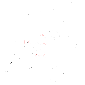 O=Cc1c(O)cc(O)cc1OC(=O)c1ccccc1